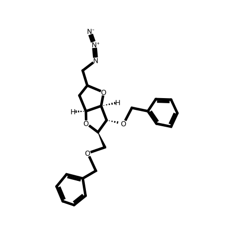 [N-]=[N+]=NCC1C[C@@H]2O[C@H](COCc3ccccc3)[C@@H](OCc3ccccc3)[C@@H]2O1